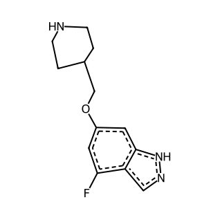 Fc1cc(OCC2CCNCC2)cc2[nH]ncc12